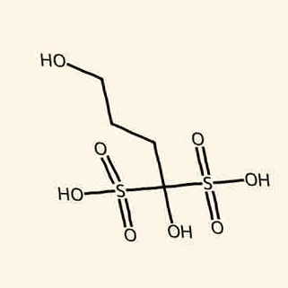 O=S(=O)(O)C(O)(CCCO)S(=O)(=O)O